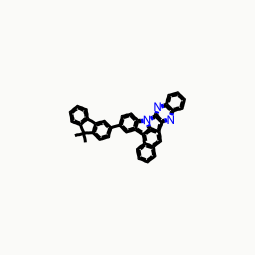 CC1(C)c2ccccc2-c2cc(-c3ccc4c(c3)c3c5ccccc5cc5c6nc7ccccc7nc6n4c53)ccc21